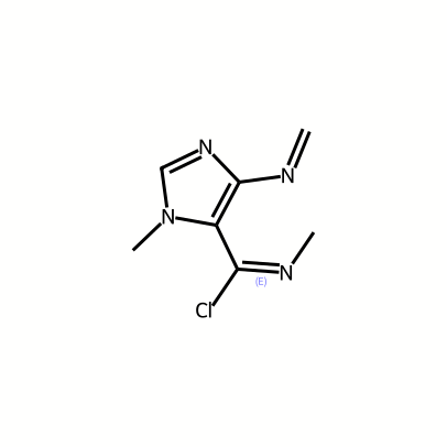 C=Nc1ncn(C)c1/C(Cl)=N\C